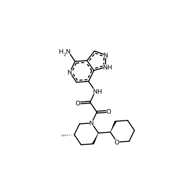 C[C@H]1CC[C@H]([C@H]2CCCCO2)N(C(=O)C(=O)Nc2cnc(N)c3cn[nH]c23)C1